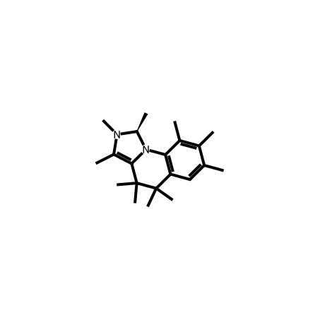 CC1=C2N(c3c(cc(C)c(C)c3C)C(C)(C)C2(C)C)[C@H](C)N1C